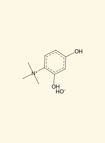 C[N+](C)(C)c1ccc(O)cc1O.[OH-]